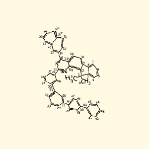 CC1(C)c2ccccc2-c2ccc3c(-c4ccc5ccccc5c4)nc(-c4cccc(-c5cccc(-c6ccc(-c7ccccc7)cc6)c5)c4)nc3c21